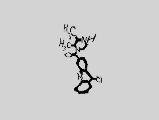 CC1NCCN(C(=O)c2ccc3c(Cl)c4c(nc3c2)CCCC4)C1C